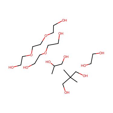 CC(C)(CO)CO.CC(O)CO.OCCO.OCCOCCO.OCCOCCOCCO